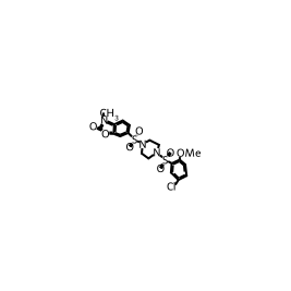 COc1ccc(Cl)cc1S(=O)(=O)N1CCN(S(=O)(=O)c2ccc3c(c2)oc(=O)n3C)CC1